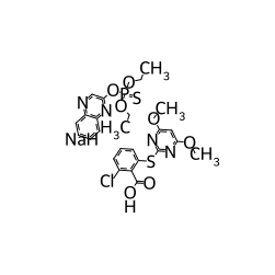 CCOP(=S)(OCC)Oc1cnc2ccccc2n1.COc1cc(OC)nc(Sc2cccc(Cl)c2C(=O)O)n1.[NaH]